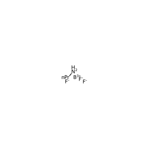 CCCN.[B+3].[F-].[F-].[F-]